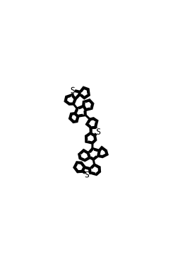 c1ccc2c(c1)sc1cccc(-c3c4ccccc4c(-c4ccc5c(c4)sc4ccc(-c6c7ccccc7c(-c7cccc8sc9ccccc9c78)c7ccccc67)cc45)c4ccccc34)c12